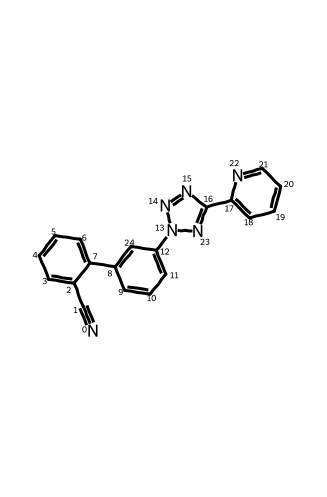 N#Cc1ccccc1-c1cccc(-n2nnc(-c3ccccn3)n2)c1